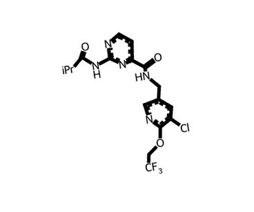 CC(C)C(=O)Nc1nccc(C(=O)NCc2cnc(OCC(F)(F)F)c(Cl)c2)n1